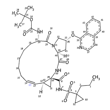 CCCC1(S(=O)(=O)NC(=O)[C@@]23C[C@H]2/C=C\CCCCC[C@H](NC(=O)OC(C)(C)C)C(=O)N2C[C@H](Oc4nccc5ccccc45)C[C@H]2C(=O)N3)CC1